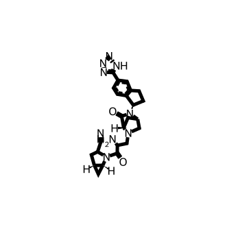 N#CC1C[C@@H]2C[C@@H]2N1C(=O)C(N)CN1CC2C[C@H]1C(=O)N2[C@H]1CCc2cc(-c3nnn[nH]3)ccc21